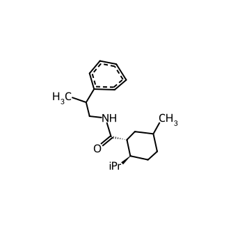 CC1CC[C@@H](C(C)C)[C@H](C(=O)NCC(C)c2ccccc2)C1